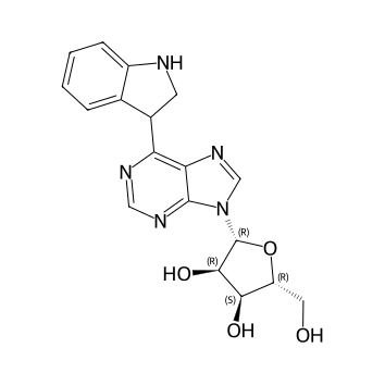 OC[C@H]1O[C@@H](n2cnc3c(C4CNc5ccccc54)ncnc32)[C@H](O)[C@@H]1O